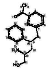 CC(=O)c1cccc(S[C@H](C[C@H](N)CO)c2ccccc2)n1